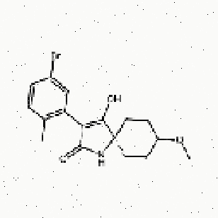 CO[C@H]1CC[C@]2(CC1)NC(=O)C(c1cc(Br)ccc1C)=C2O